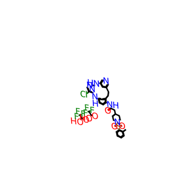 Cc1ccccc1S(=O)(=O)N1CCC(CC(=O)Nc2ccc3cc2CCc2cncc(c2)Nc2ncc(Cl)c(n2)N3)CC1.O=C(O)C(F)(F)F.O=C(O)C(F)(F)F